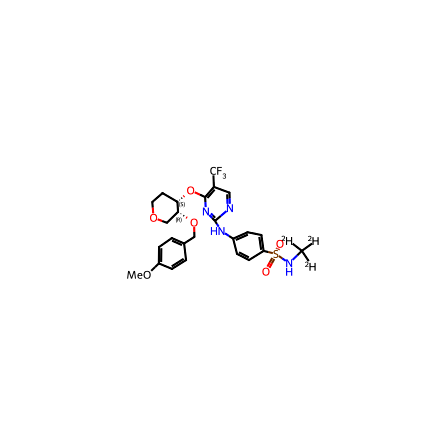 [2H]C([2H])([2H])NS(=O)(=O)c1ccc(Nc2ncc(C(F)(F)F)c(O[C@H]3CCOC[C@H]3OCc3ccc(OC)cc3)n2)cc1